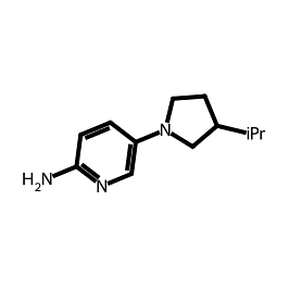 CC(C)C1CCN(c2ccc(N)nc2)C1